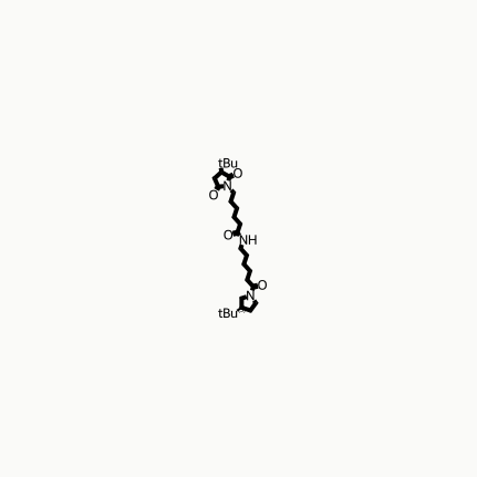 CC(C)(C)C1CC(=O)N(CCCCCC(=O)NCCCCCC(=O)N2CC[C@@H](C(C)(C)C)C2)C1=O